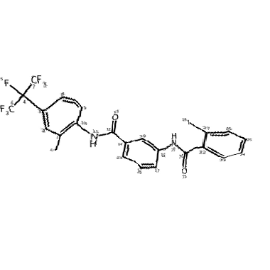 Cc1cc(C(F)(C(F)(F)F)C(F)(F)F)ccc1NC(=O)c1cccc(NC(=O)c2ccccc2I)c1